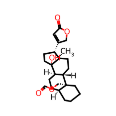 C[C@]12CC[C@H]3[C@@H](CC[C@@H]4CCCC[C@@]43COC=O)[C@@]1(O)CC[C@@H]2C1=CC(=O)OC1